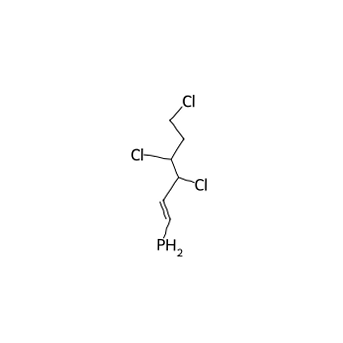 PC=CC(Cl)C(Cl)CCCl